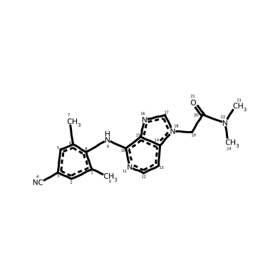 Cc1cc(C#N)cc(C)c1Nc1nccc2c1ncn2CC(=O)N(C)C